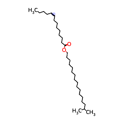 CCCC/C=C\CCCCCCCC(=O)OCCCCCCCCCCCCCCCC(C)C